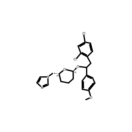 COc1ccc(C(Cc2ccc(Cl)cc2Cl)O[C@H]2CCC[C@H](Cn3ccnc3)O2)cc1